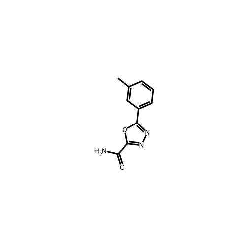 Cc1cccc(-c2nnc(C(N)=O)o2)c1